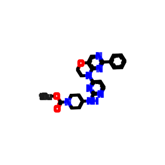 CC(C)(C)OC(=O)N1CCC(Nc2nccc(N3CCOc4cnc(-c5ccccc5)nc43)n2)CC1